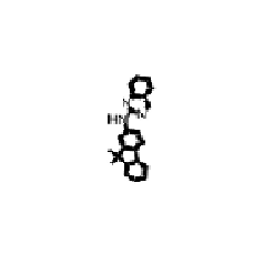 CC1(C)c2ccccc2-c2ccc(Nc3ncc4ccccc4n3)cc21